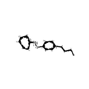 CCCCc1ccc(SNc2ccccc2)cc1